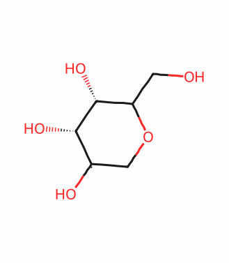 OCC1OC[C](O)[C@H](O)[C@@H]1O